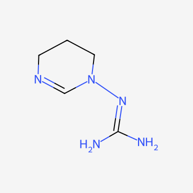 NC(N)=NN1C=NCCC1